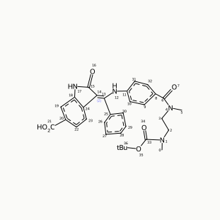 CN(CCN(C)C(=O)c1ccc(N/C(=C2\C(=O)Nc3cc(C(=O)O)ccc32)c2ccccc2)cc1)C(=O)OC(C)(C)C